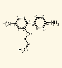 C=CCOc1cc(N)ccc1-c1ccc(N)cc1